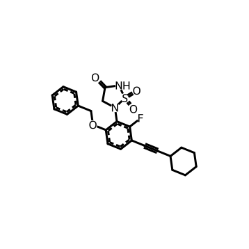 O=C1CN(c2c(OCc3ccccc3)ccc(C#CC3CCCCC3)c2F)S(=O)(=O)N1